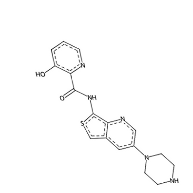 O=C(Nc1scc2cc(N3CCNCC3)cnc12)c1ncccc1O